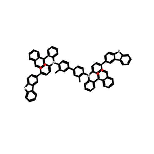 Cc1cc(-c2ccc(N(c3ccc(-c4ccc5sc6ccccc6c5c4)cc3)c3ccccc3-c3cccc4ccccc34)c(C)c2)ccc1N(c1ccc(-c2ccc3sc4ccccc4c3c2)cc1)c1ccccc1-c1cccc2ccccc12